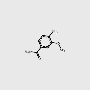 CNC(=O)c1ccc(N)c(OC(F)(F)F)c1